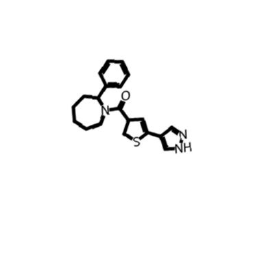 O=C(C1C=C(c2cn[nH]c2)SC1)N1CCCCCC1c1ccccc1